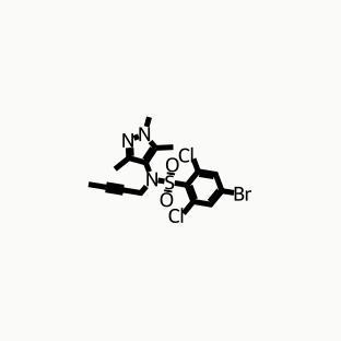 CC#CCN(c1c(C)nn(C)c1C)S(=O)(=O)c1c(Cl)cc(Br)cc1Cl